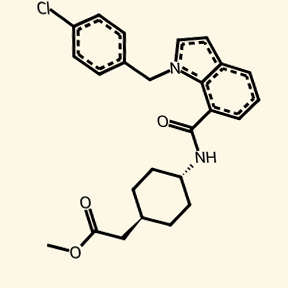 COC(=O)C[C@H]1CC[C@H](NC(=O)c2cccc3ccn(Cc4ccc(Cl)cc4)c23)CC1